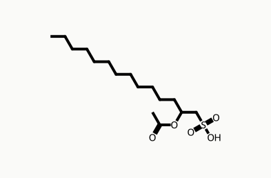 CCCCCCCCCCCCC(CS(=O)(=O)O)OC(C)=O